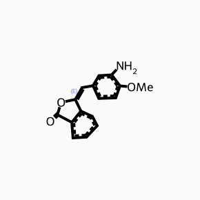 COc1ccc(/C=C2/OC(=O)c3ccccc32)cc1N